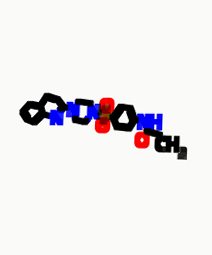 C=CC(=O)Nc1ccc(S(=O)(=O)N2CCN(c3ccc4ccccc4n3)CC2)cc1